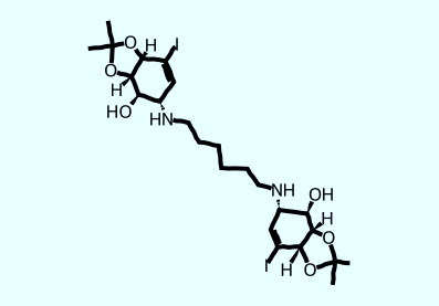 CC1(C)O[C@H]2[C@H](O)[C@@H](NCCCCCCN[C@H]3C=C(I)[C@H]4OC(C)(C)O[C@H]4[C@@H]3O)C=C(I)[C@H]2O1